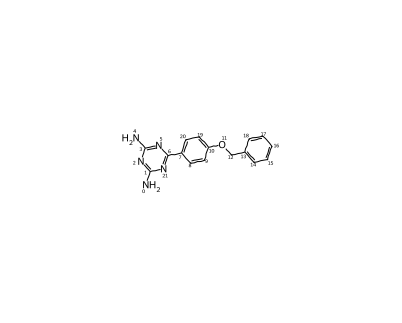 Nc1nc(N)nc(-c2ccc(OCc3ccccc3)cc2)n1